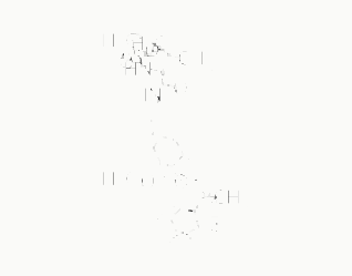 COc1cc(CCNC(=O)[C@@H](NS(C)(=O)=O)C(C)C)ccc1OCC(C)c1ccccc1F